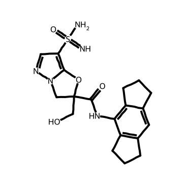 N=S(N)(=O)c1cnn2c1OC(CO)(C(=O)Nc1c3c(cc4c1CCC4)CCC3)C2